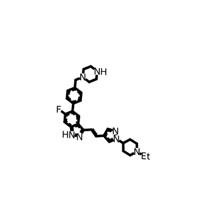 CCN1CCC(n2cc(/C=C/c3n[nH]c4cc(F)c(-c5ccc(CN6CCNCC6)cc5)cc34)cn2)CC1